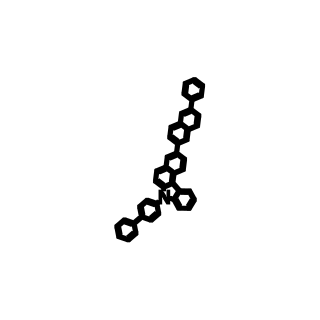 c1ccc(-c2ccc(-n3c4ccccc4c4c5ccc(-c6ccc7cc(-c8ccccc8)ccc7c6)cc5ccc43)cc2)cc1